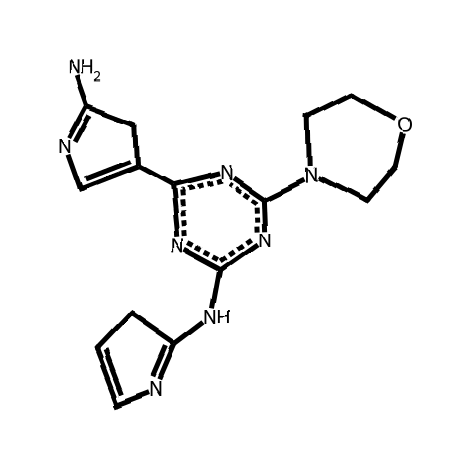 NC1=NC=C(c2nc(NC3=NC=CC3)nc(N3CCOCC3)n2)C1